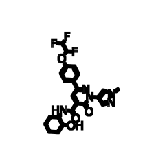 Cn1cc(-n2nc(-c3ccc(OC(F)C(F)F)cc3)cc(C(=O)NC3CCCCC3O)c2=O)cn1